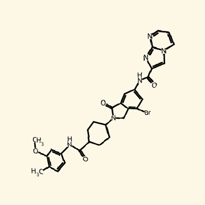 COc1cc(NC(=O)C2CCC(N3Cc4c(Br)cc(NC(=O)c5cn6cccnc6n5)cc4C3=O)CC2)ccc1C